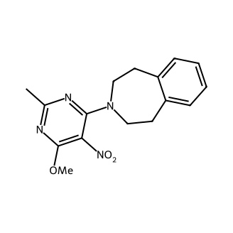 COc1nc(C)nc(N2CCc3ccccc3CC2)c1[N+](=O)[O-]